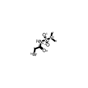 CN(C)S(=O)(=O)NC(=O)CBr